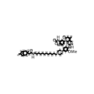 COc1cc(N2CCN(CCCCCCCCCCCCNC(=O)CC3(C)CC4CC(C)CC(C4)C3)CC2)ccc1Nc1ncc2c(C)cc(=O)n(-c3cccc(NC(=O)OC(C)(C)C)c3)c2n1